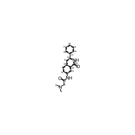 CN(C)CC(=O)Nc1ccc2cc(-c3ccccc3)[nH]c(=O)c2c1